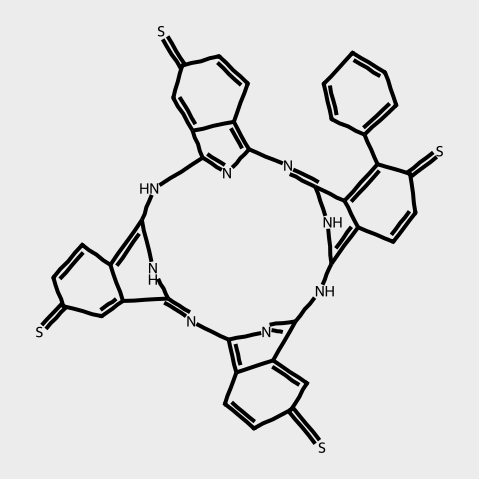 S=C1C=CC2=C3N=C(Nc4[nH]/c(c5c4C=CC(=S)C=5)=N\C4=C5C=CC(=S)C=C5C(=N4)Nc4[nH]/c(c5c4C=CC(=S)C=5c4ccccc4)=N\3)C2=C1